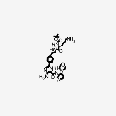 CC(C)(C)OC(=O)N[C@@H](CCCCN)C(=O)NCCc1ccc(-c2cnc(N)c(C(=O)Nc3cnccc3N3CCOCC3)n2)cc1